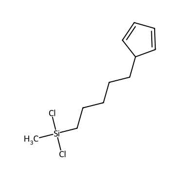 C[Si](Cl)(Cl)CCCCCC1C=CC=C1